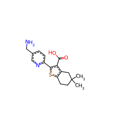 CC1(C)CCc2sc(-c3ccc(CN)cn3)c(C(=O)O)c2C1